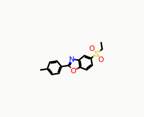 CCS(=O)(=O)c1ccc2oc(-c3ccc(C)cc3)nc2c1